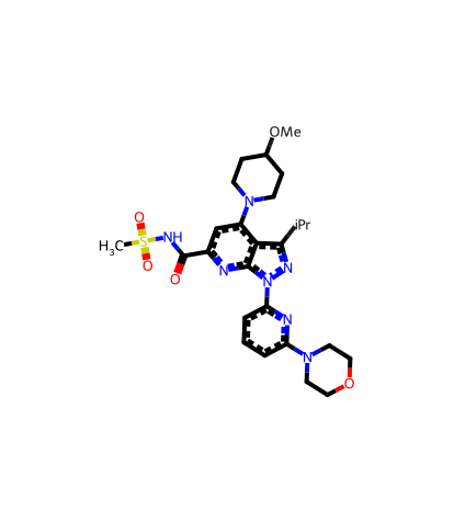 COC1CCN(c2cc(C(=O)NS(C)(=O)=O)nc3c2c(C(C)C)nn3-c2cccc(N3CCOCC3)n2)CC1